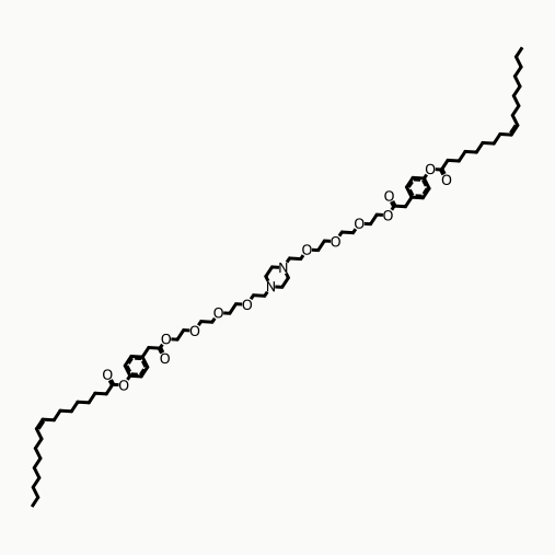 CCCCCCCC/C=C\CCCCCCCC(=O)Oc1ccc(CC(=O)OCCOCCOCCOCCN2CCN(CCOCCOCCOCCOC(=O)Cc3ccc(OC(=O)CCCCCCC/C=C\CCCCCCCC)cc3)CC2)cc1